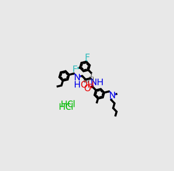 CCCCCN(C)Cc1cc(C)cc(C(=O)N[C@@H](Cc2cc(F)cc(F)c2)[C@@H](O)CNCc2cccc(CC)c2)c1.Cl.Cl